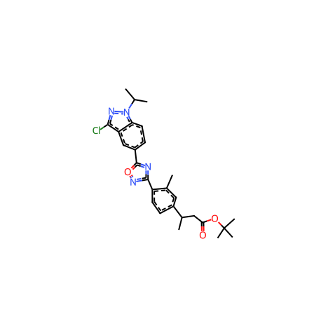 Cc1cc(C(C)CC(=O)OC(C)(C)C)ccc1-c1noc(-c2ccc3c(c2)c(Cl)nn3C(C)C)n1